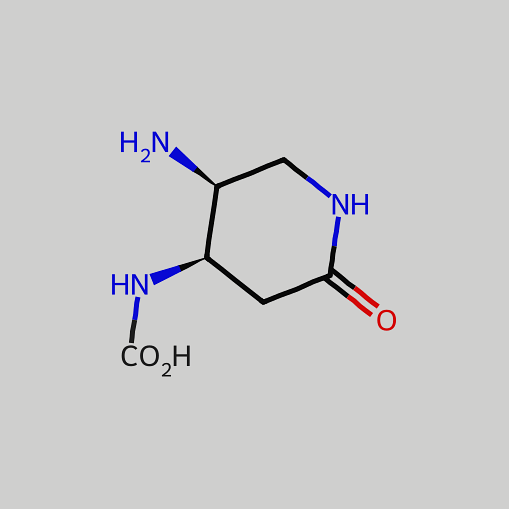 N[C@H]1CNC(=O)C[C@H]1NC(=O)O